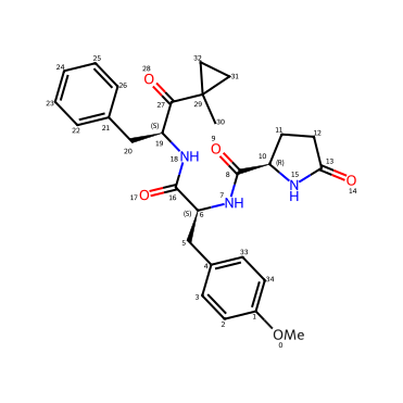 COc1ccc(C[C@H](NC(=O)[C@H]2CCC(=O)N2)C(=O)N[C@@H](Cc2ccccc2)C(=O)C2(C)CC2)cc1